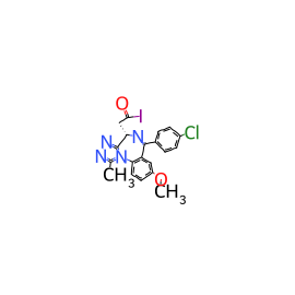 COc1ccc2c(c1)C(c1ccc(Cl)cc1)=N[C@@H](CC(=O)I)c1nnc(C)n1-2